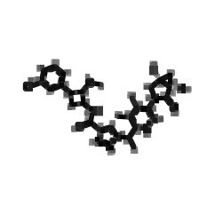 COC1C(NC(=O)c2cn(C(C)c3nnc(N4C[C@H]5C[C@H]5C4=O)c(C)c3C)nn2)CC1c1cccc(Cl)c1